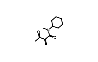 C=C(C(C)=O)C(=O)N(C)C1CCCCC1